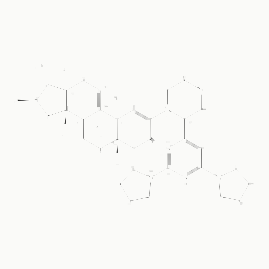 CC(=O)[C@H]1[C@H](C)C[C@H]2[C@@H]3CC[C@H]4CC(=O)C(N5CCNCC5c5cc(N6CCCC6)nc(N6CCCC6)n5)=C[C@]4(C)C3=CC[C@@]21C